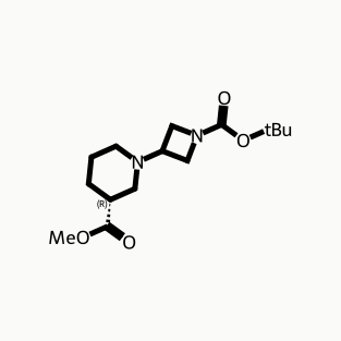 COC(=O)[C@@H]1CCCN(C2CN(C(=O)OC(C)(C)C)C2)C1